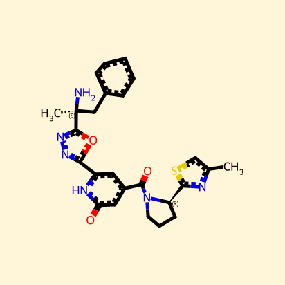 Cc1csc([C@H]2CCCN2C(=O)c2cc(-c3nnc([C@@](C)(N)Cc4ccccc4)o3)[nH]c(=O)c2)n1